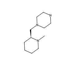 CN1CCCC[C@H]1CN1CC[N]CC1